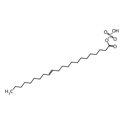 CCCCCCCCC=CCCCCCCCCCCCC(=O)OS(=O)(=O)O